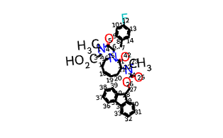 CN(CC(=O)O)C(=O)[C@H](Cc1ccc(F)cc1)N1CC/C=C\C[C@H](N(C)C(=O)OCC2c3ccccc3-c3ccccc32)C1=O